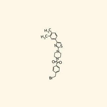 Cc1ccc(-c2csc(N3CCN(S(=O)(=O)c4ccc(CBr)cc4)CC3)n2)cc1C